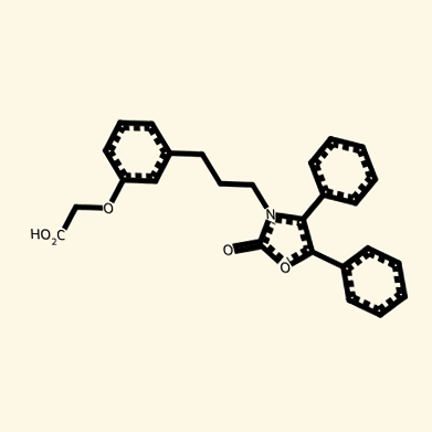 O=C(O)COc1cccc(CCCn2c(-c3ccccc3)c(-c3ccccc3)oc2=O)c1